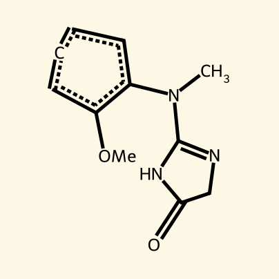 COc1ccccc1N(C)C1=NCC(=O)N1